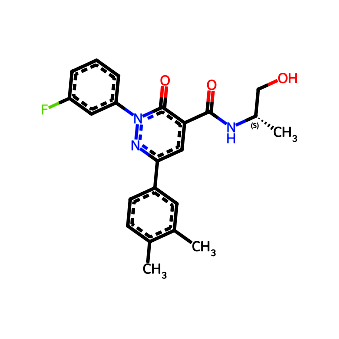 Cc1ccc(-c2cc(C(=O)N[C@@H](C)CO)c(=O)n(-c3cccc(F)c3)n2)cc1C